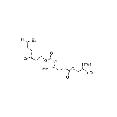 CCCCCCCCC(CCCCCC)COC(=O)CCC(CCCCCC)OC(=O)OCCN(CCN(CC)CC)C(C)C